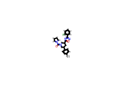 CCc1ccc(C2CC(c3nc(-c4ccccc4F)no3)CN(C(=O)N3CCCC3)C2)cc1